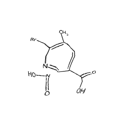 Cc1cc(C(=O)O)cnc1Br.O=NO